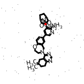 CC1(C)CCc2ncnc(N3CCOc4ccc(-c5cnc(N)c(S(=O)(=O)N6C7CCC6CC(N)C7)c5)cc4C3)c2C1